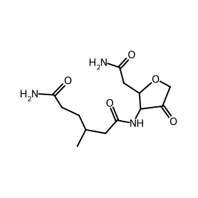 CC(CCC(N)=O)CC(=O)NC1C(=O)COC1CC(N)=O